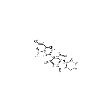 O=C(Oc1c(Cl)cc(Cl)cc1Cl)c1c(F)cc(F)c2c1cnn2C1CCCCO1